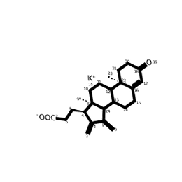 C=C1C(=C)[C@@H](CCC(=O)[O-])[C@@]2(C)CCC3C(CCC4=CC(=O)CC[C@@]43C)C12.[K+]